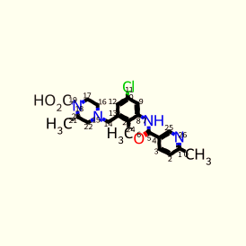 Cc1ccc(C(=O)Nc2cc(Cl)cc(CN3CCN(C(=O)O)[C@@H](C)C3)c2C)cn1